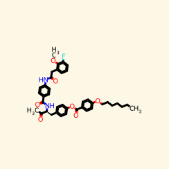 CCCCCCCOc1ccc(C(=O)Oc2ccc(C[C@H](NC(=O)c3ccc(NC(=O)Cc4cccc(F)c4OC)cc3)C(C)=O)cc2)cc1